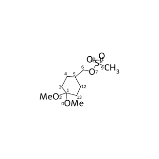 COC1(OC)CCC(COS(C)(=O)=O)CC1